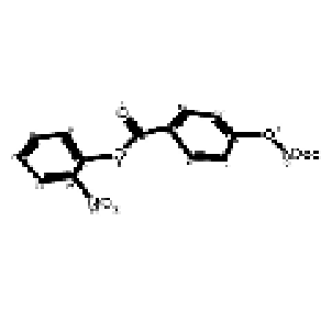 CCCCCCCCCCOc1ccc(C(=O)Oc2ccccc2[N+](=O)[O-])cc1